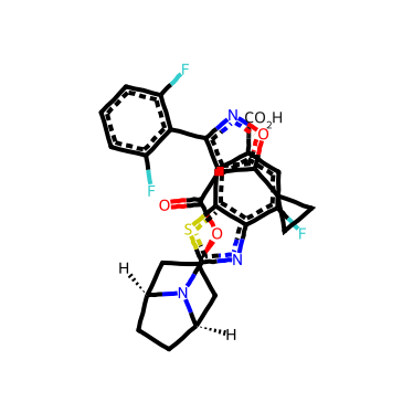 O=C(O)c1cc(F)c2nc(N3[C@@H]4CC[C@H]3C[C@@H](OC(=O)c3c(-c5c(F)cccc5F)noc3C3CC3)C4)sc2c1